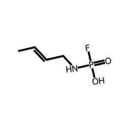 C/C=C/CNP(=O)(O)F